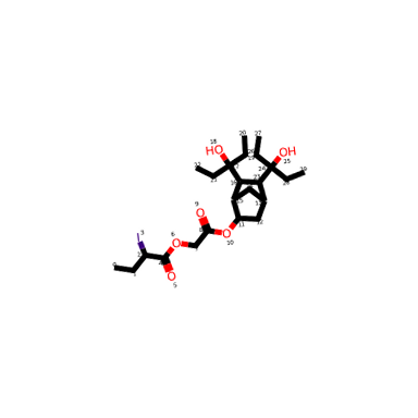 CCC(I)C(=O)OCC(=O)OC1CC2CC1C(C(O)(CC)CC)C2C(O)(CC)CC